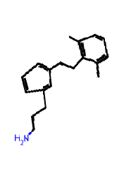 Cc1cccc(C)c1CCc1cccc(CCCN)c1